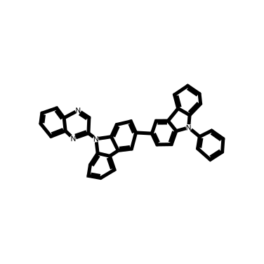 c1ccc(-n2c3ccccc3c3cc(-c4ccc5c(c4)c4ccccc4n5-c4cnc5ccccc5n4)ccc32)cc1